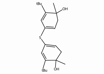 CC(C)(C)C1=CC(SC2=CCC(C)(O)C(C(C)(C)C)=C2)=CCC1(C)O